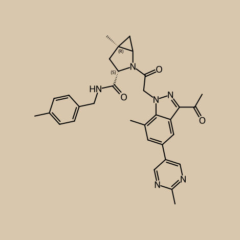 CC(=O)c1nn(CC(=O)N2C3C[C@]3(C)C[C@H]2C(=O)NCc2ccc(C)cc2)c2c(C)cc(-c3cnc(C)nc3)cc12